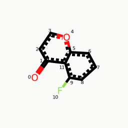 O=c1ccoc2cccc(F)c12